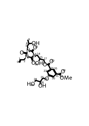 C=CCn1c(=O)n(CC(C)O)c(=O)n(CC(O)COC(=O)c2cc(OCC(O)CO)cc(C(=O)OC)c2)c1=O